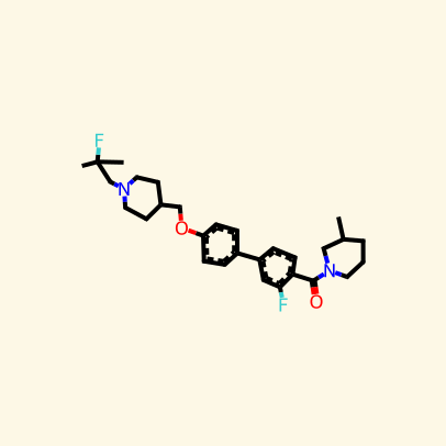 CC1CCCN(C(=O)c2ccc(-c3ccc(OCC4CCN(CC(C)(C)F)CC4)cc3)cc2F)C1